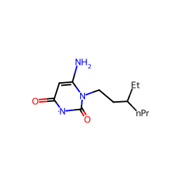 CCCC(CC)CCN1C(=O)[N]C(=O)C=C1N